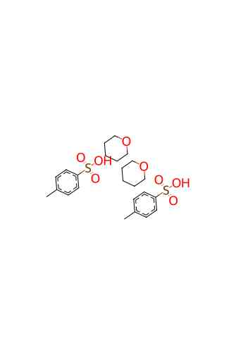 C1CCOCC1.C1CCOCC1.Cc1ccc(S(=O)(=O)O)cc1.Cc1ccc(S(=O)(=O)O)cc1